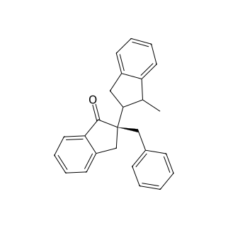 CC1c2ccccc2CC1[C@]1(Cc2ccccc2)Cc2ccccc2C1=O